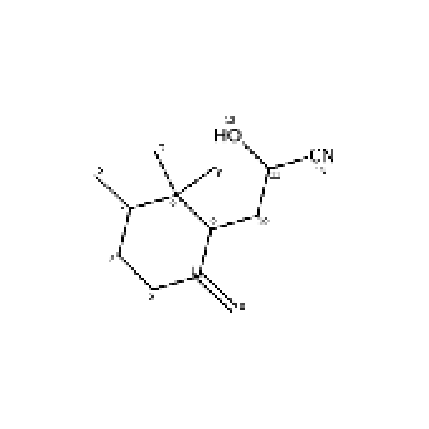 C=C1CCC(C)C(C)(C)C1CC(O)C#N